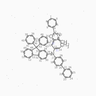 C=c1nc(-c2ccccc2)o/c1=C/C(=C\C)N(c1ccc(-c2ccccc2)cc1)c1ccc2c(c1)C(c1ccccc1)(c1ccccc1)c1ccccc1-2